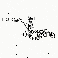 CCOc1cc(OC2C[C@@H](C(N)=O)N(C(=O)[C@H](CCCCC/C=C\[C@@H]3C[C@@H]3C(=O)O)NC(=O)O[C@@H]3C[C@@H]4C[C@@H]4C3)C2)c2ccc(OCCN3CCOCC3)c(Cl)c2n1